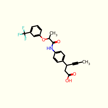 CC#CC(CC(=O)O)c1ccc(NC(=O)C(C)Oc2cccc(C(F)(F)F)c2)cc1